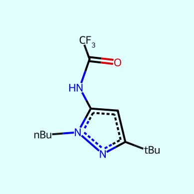 CCCCn1nc(C(C)(C)C)cc1NC(=O)C(F)(F)F